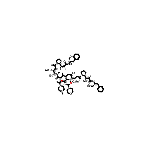 CC[C@H](CCC(C)[C@H](NC(=O)N1CCN(C)CC1)C(=O)N(C)[C@@H]([C@@H](C)CC)[C@@H](CC(=O)N1CCC[C@H]1[C@H](OC)[C@@H](C)C(=O)N[C@H](CO)Cc1ccccc1)OC)[C@@H]([C@@H](CC(=O)N1CCC[C@H]1[C@H](OC)[C@@H](C)C(=O)N[C@H](CO)Cc1ccccc1)OC)N(C)C(=O)[C@@H](NC(=O)N1CCOCC1)C(C)C